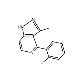 Cc1n[nH]c2ccnc(-c3ccccc3F)c12